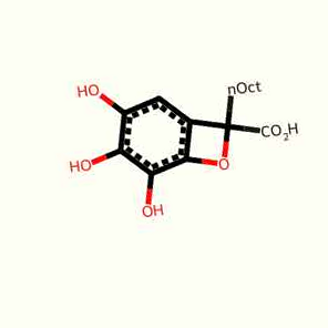 CCCCCCCCC1(C(=O)O)Oc2c1cc(O)c(O)c2O